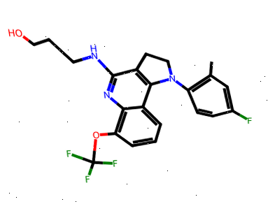 Cc1cc(F)ccc1N1CCc2c(NCCCO)nc3c(OC(F)(F)F)cccc3c21